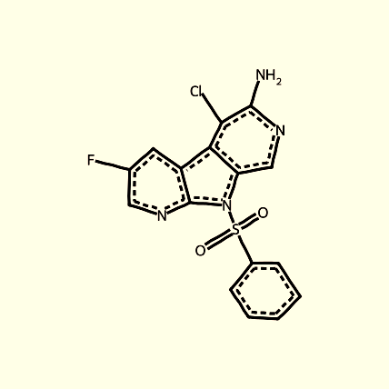 Nc1ncc2c(c1Cl)c1cc(F)cnc1n2S(=O)(=O)c1ccccc1